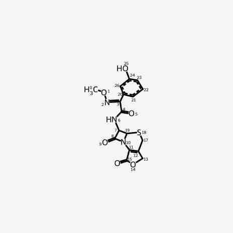 CON=C(C(=O)NC1C(=O)N2C3=C(COC3=O)CSC12)c1cccc(O)c1